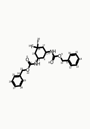 O=C(NC1CC(NC(=O)OCc2ccccc2)CC(F)(F)C1)OCc1ccccc1